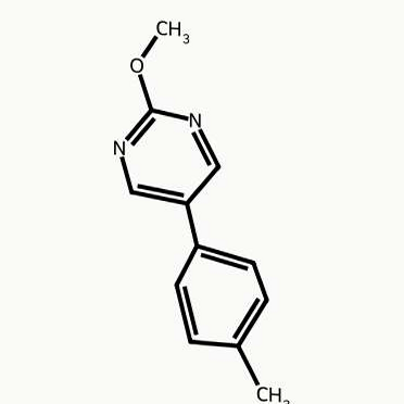 COc1ncc(-c2ccc(C)cc2)cn1